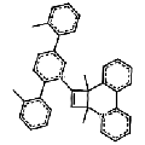 Cc1ccccc1-c1ccc(-c2ccccc2C)[n+](C2=CC3(C)[n+]4ccccc4-c4ccccc4C23C)c1